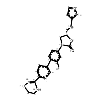 O=C1O[C@@H](CNc2ccon2)CN1c1ccc(-c2ccc(C3=NOCCN3)nc2)c(F)c1